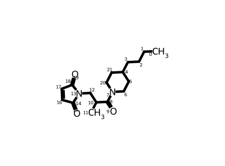 CCCCC1CCN(C(=O)C(C)CN2C(=O)C=CC2=O)CC1